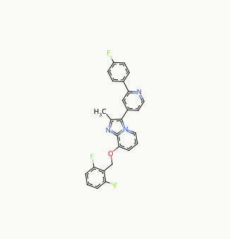 Cc1nc2c(OCc3c(F)cccc3F)cccn2c1-c1ccnc(-c2ccc(F)cc2)c1